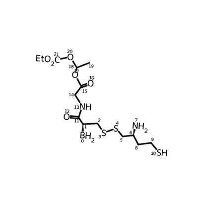 B[C@H](CSSC[C@@H](N)CCS)C(=O)NCC(=O)OC(C)OC(=O)OCC